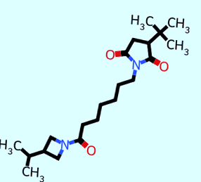 CC(C)C1CN(C(=O)CCCCCCN2C(=O)CC(C(C)(C)C)C2=O)C1